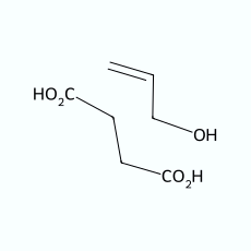 C=CCO.O=C(O)CCC(=O)O